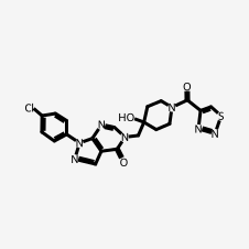 O=C(c1csnn1)N1CCC(O)(Cn2cnc3c(cnn3-c3ccc(Cl)cc3)c2=O)CC1